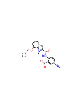 Cn1c(C(=O)Nc2ccc(C#N)cc2C(=O)O)cc2cccc(OCC3CCC3)c21